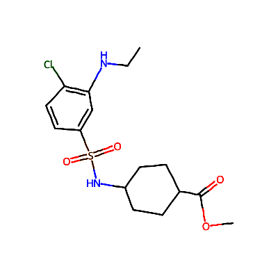 CCNc1cc(S(=O)(=O)NC2CCC(C(=O)OC)CC2)ccc1Cl